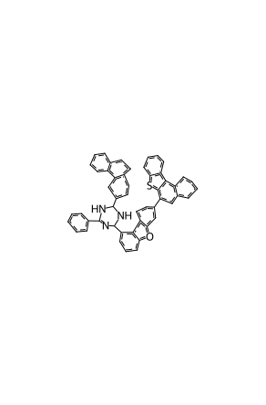 c1ccc(C2=NC(c3cccc4oc5cc(-c6cc7ccccc7c7c6sc6ccccc67)ccc5c34)NC(c3ccc4ccc5ccccc5c4c3)N2)cc1